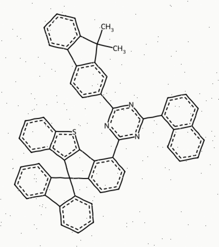 CC1(C)c2ccccc2-c2ccc(-c3nc(-c4cccc5c4-c4sc6ccccc6c4C54c5ccccc5-c5ccccc54)nc(-c4cccc5ccccc45)n3)cc21